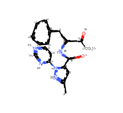 Cc1cc(C(=O)NC(Cc2ccccc2)C(=O)C(=O)O)n(-c2ccncn2)n1